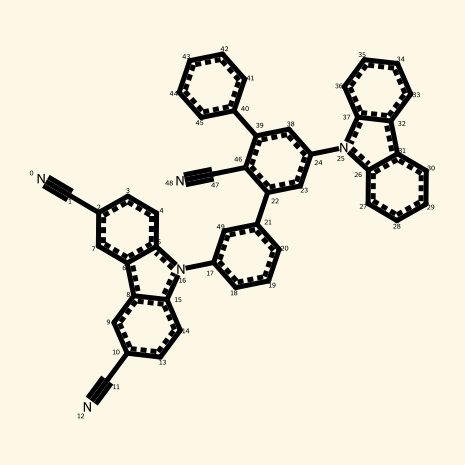 N#Cc1ccc2c(c1)c1cc(C#N)ccc1n2-c1cccc(-c2cc(-n3c4ccccc4c4ccccc43)cc(-c3ccccc3)c2C#N)c1